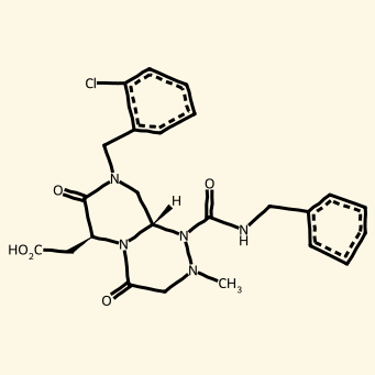 CN1CC(=O)N2[C@@H](CC(=O)O)C(=O)N(Cc3ccccc3Cl)C[C@@H]2N1C(=O)NCc1ccccc1